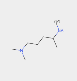 CCCNC(C)CCCN(C)C